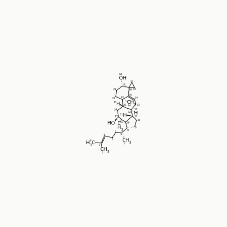 CC(C)=CCC[C@@H](C)[C@H]1CC[C@H]2[C@@H]3CC=C4C5(CC5)[C@@H](O)CC[C@]4(C)[C@H]3C[C@H](O)[C@]12C